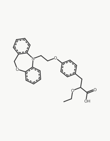 CCOC(Cc1ccc(OCCN2c3ccccc3COc3ccccc32)cc1)C(=O)O